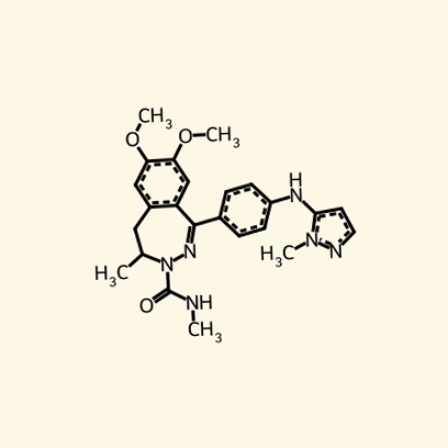 CNC(=O)N1N=C(c2ccc(Nc3ccnn3C)cc2)c2cc(OC)c(OC)cc2CC1C